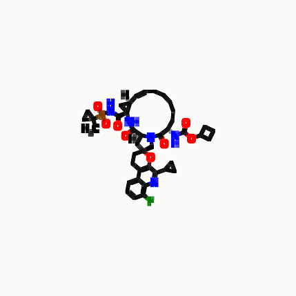 CC1(S(=O)(=O)NC(=O)[C@@]23C[C@H]2/C=C\CCCCC[C@H](NC(=O)OC2CCC2)C(=O)N2C[C@@]4(CCc5c(c(C6CC6)nc6c(F)cccc56)O4)C[C@H]2C(=O)N3)CC1